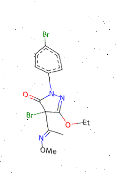 CCOC1=NN(c2ccc(Br)cc2)C(=O)C1(Br)C(C)=NOC